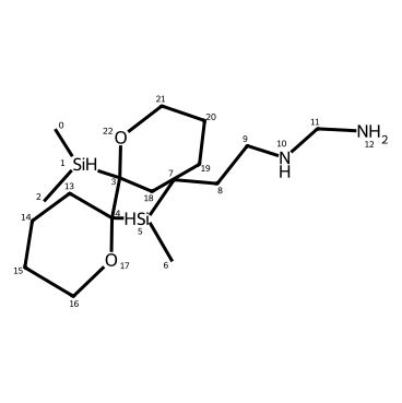 C[SiH](C)C1(C2([SiH](C)CCCNCN)CCCCO2)CCCCO1